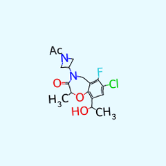 CC(=O)N1CC(N2Cc3c(F)c(Cl)cc(C(C)O)c3OC(C)C2=O)C1